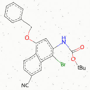 CC(C)(C)OC(=O)Nc1cc(OCc2ccccc2)c2ccc(C#N)cc2c1Br